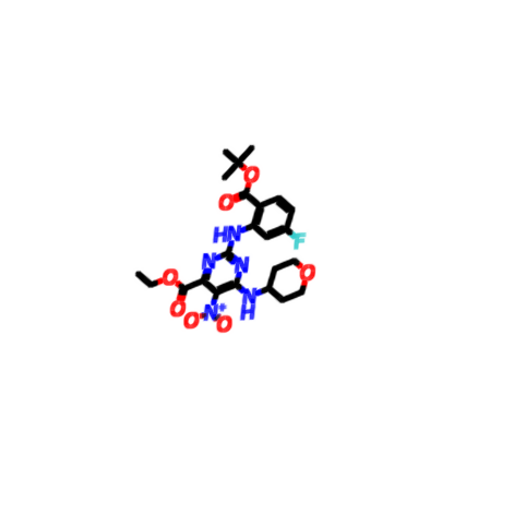 CCOC(=O)c1nc(Nc2cc(F)ccc2C(=O)OC(C)(C)C)nc(NC2CCOCC2)c1[N+](=O)[O-]